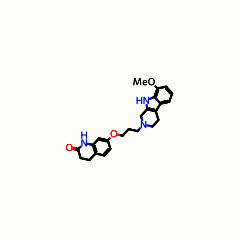 COc1cccc2c3c([nH]c12)CN(CCCOc1ccc2c(c1)NC(=O)CC2)CC3